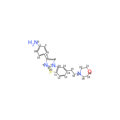 Nc1ccc(-c2cn3c(n2)sc2ccc(CCN4CCOCC4)cc23)cc1